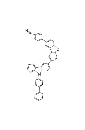 C/C=C(\C=C1/CN(c2ccc(-c3ccccc3)cc2)c2ccccc21)c1ccc2oc3ccc(-c4ccc(C#N)cc4)cc3c2c1